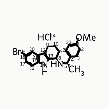 COc1ccc([C@@H](C)N[C@@H]2CCCc3c2[nH]c2ccc(Br)cc32)cc1.Cl